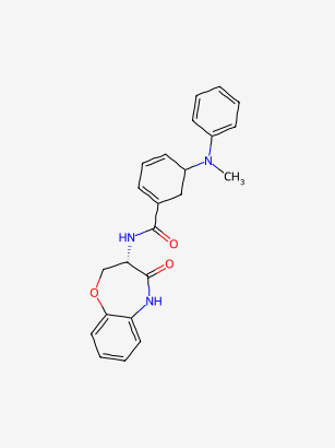 CN(c1ccccc1)C1C=CC=C(C(=O)N[C@H]2COc3ccccc3NC2=O)C1